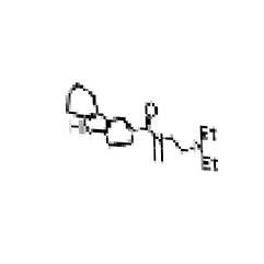 CCN(CC)CCNC(=O)c1ccc2[nH]c3c(c2c1)CCCC3